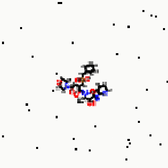 CCC(NC(=O)C(CC(=O)N1CCOCC1)CS(=O)(=O)Cc1ccccc1)C(O)c1nc2ncccc2o1